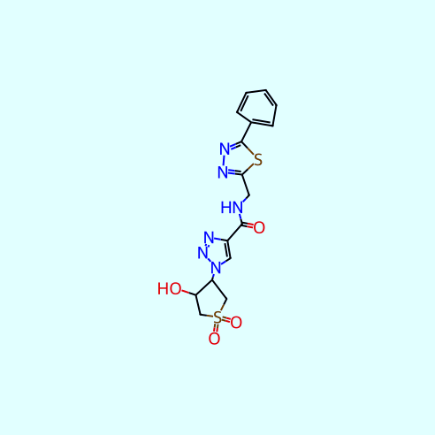 O=C(NCc1nnc(-c2ccccc2)s1)c1cn(C2CS(=O)(=O)CC2O)nn1